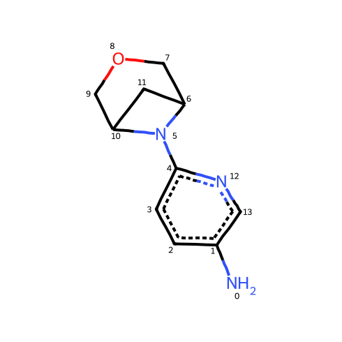 Nc1ccc(N2C3COCC2C3)nc1